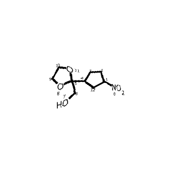 O=[N+]([O-])C1CCC(C2(CO)OCCO2)C1